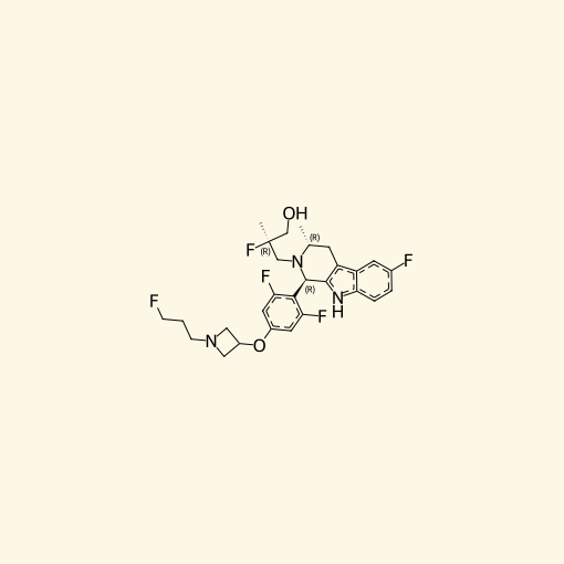 C[C@@H]1Cc2c([nH]c3ccc(F)cc23)[C@@H](c2c(F)cc(OC3CN(CCCF)C3)cc2F)N1C[C@@](C)(F)CO